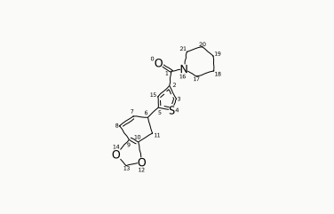 O=C(c1csc(C2C=CC3=C(C2)OCO3)c1)N1CCCCC1